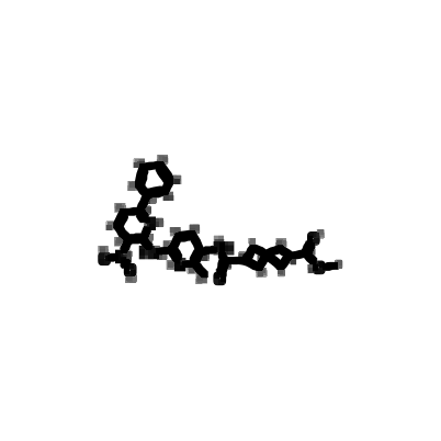 COC(=O)C1CC2(CC(C(=O)Nc3ccc(Nc4nc(-c5ccccc5)ccc4[N+](=O)[O-])nc3C)C2)C1